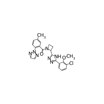 COc1c(Cl)cccc1-c1nnc(C2CCN2C(=O)c2cc(C)ccc2-n2nccn2)[nH]1